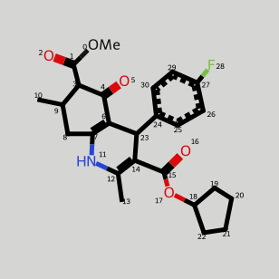 COC(=O)C1C(=O)C2=C(CC1C)NC(C)=C(C(=O)OC1CCCC1)C2c1ccc(F)cc1